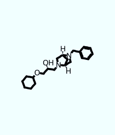 O[C@@H](COC1CCCCC1)CN1C[C@@H]2C[C@H]1CN2Cc1ccccc1